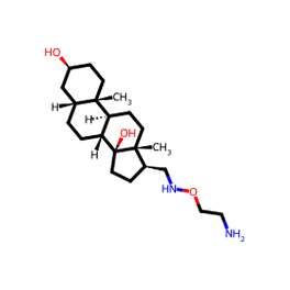 C[C@]12CC[C@H](O)C[C@H]1CC[C@@H]1[C@@H]2CC[C@]2(C)[C@@H](CNOCCN)CC[C@]12O